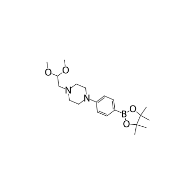 COC(CN1CCN(c2ccc(B3OC(C)(C)C(C)(C)O3)cc2)CC1)OC